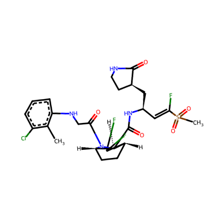 Cc1c(Cl)cccc1NCC(=O)N1[C@H]2CC[C@@H]([C@@H]1C(=O)N[C@H](/C=C(\F)S(C)(=O)=O)C[C@H]1CCNC1=O)C(F)(F)C2